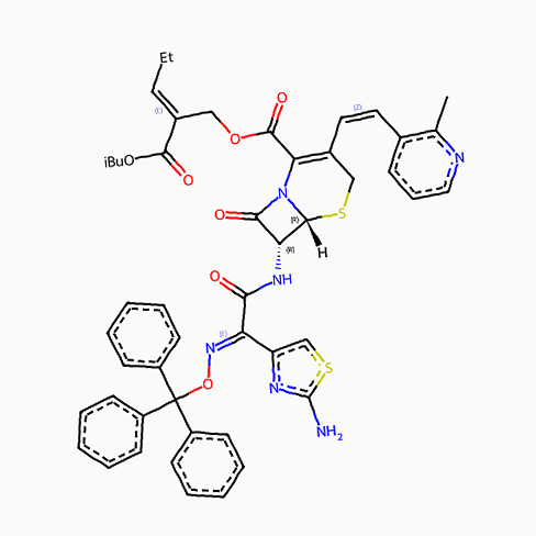 CC/C=C(\COC(=O)C1=C(/C=C\c2cccnc2C)CS[C@@H]2[C@H](NC(=O)/C(=N/OC(c3ccccc3)(c3ccccc3)c3ccccc3)c3csc(N)n3)C(=O)N12)C(=O)OCC(C)C